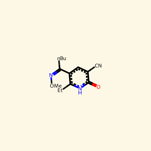 CCCC/C(=N/OC)c1cc(C#N)c(=O)[nH]c1CC